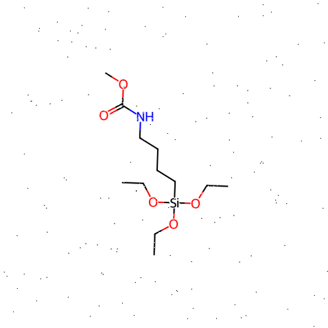 CCO[Si](CCCCNC(=O)OC)(OCC)OCC